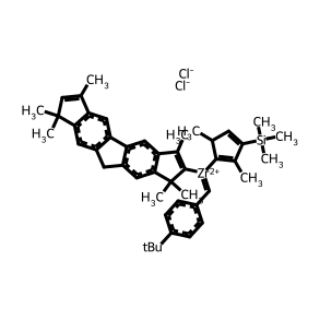 CC1=CC(C)(C)c2cc3c(cc21)-c1cc2c(cc1C3)C(C)(C)[C]([Zr+2](=[CH]c1ccc(C(C)(C)C)cc1)[C]1=C(C)C([Si](C)(C)C)=CC1C)=C2C.[Cl-].[Cl-]